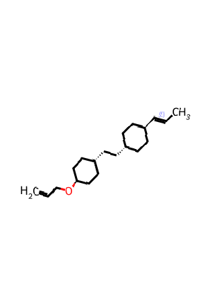 C=CCO[C@H]1CC[C@H](CC[C@H]2CC[C@H](/C=C/C)CC2)CC1